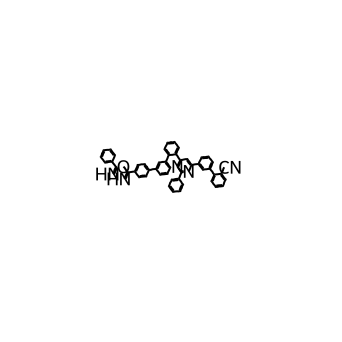 N#Cc1ccccc1-c1cccc(-c2cc(-c3ccccc3-c3cccc(-c4ccc(C(=N)OC(=N)c5ccccc5)cc4)c3)nc(-c3ccccc3)n2)c1